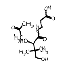 CC(C)(CO)[C@@H](O)C(=O)NCCC(=O)O.CC(C)=O